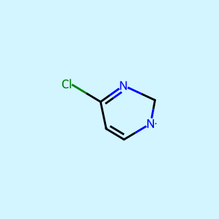 ClC1=NC[N]C=C1